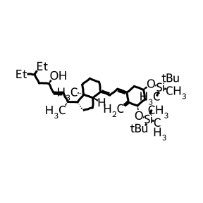 C=C1/C(=C\C=C2/CCC[C@]3(C)[C@@H]([C@H](C)/C=C/[C@H](O)CC(CC)CC)CC[C@@H]23)C[C@@H](O[Si](C)(C)C(C)(C)C)C[C@@H]1O[Si](C)(C)C(C)(C)C